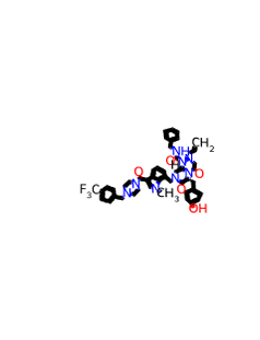 C=CCN1CC(=O)N2[C@@H](Cc3ccc(O)cc3)C(=O)N(Cc3cccc4c(C(=O)N5CCN(Cc6ccc(C(F)(F)F)cc6)CC5)cn(C)c34)C[C@@H]2N1C(=O)NCc1ccccc1